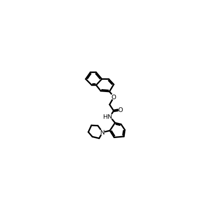 O=C(COc1ccc2ccccc2c1)Nc1ccccc1N1CCCCC1